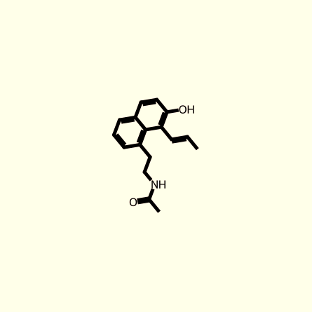 CC=Cc1c(O)ccc2cccc(CCNC(C)=O)c12